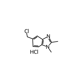 Cc1nc2cc(CCl)ccc2n1C.Cl